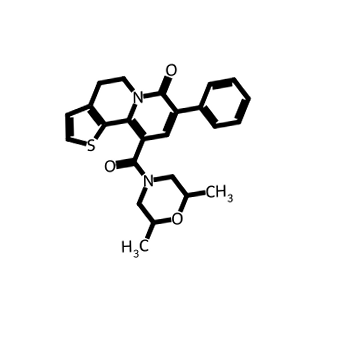 CC1CN(C(=O)c2cc(-c3ccccc3)c(=O)n3c2-c2sccc2CC3)CC(C)O1